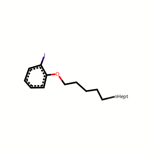 CCCCCCCCCCCCOc1ccccc1I